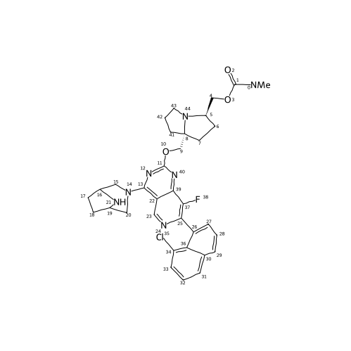 CNC(=O)OC[C@H]1CC[C@@]2(COc3nc(N4CC5CCC(C4)N5)c4cnc(-c5cccc6cccc(Cl)c56)c(F)c4n3)CCCN12